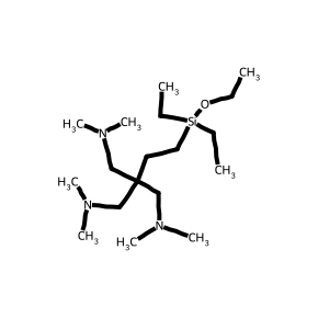 CCO[Si](CC)(CC)CCC(CN(C)C)(CN(C)C)CN(C)C